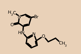 CCCOc1cccc(Nc2cc(Br)cn(C)c2=O)n1